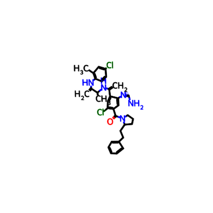 C=C(NC(C)C(=C)Nc1ccc(Cl)cc1C)c1cc(Cl)c(C(=O)N2CCCC2CCc2ccccc2)cc1/N=C\N